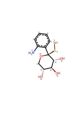 Nc1ccccc1[C@@]1(SS)OC[C@@H](O)[C@H](O)[C@H]1O